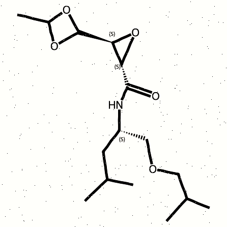 CC(C)COC[C@H](CC(C)C)NC(=O)[C@H]1O[C@@H]1C1OC(C)O1